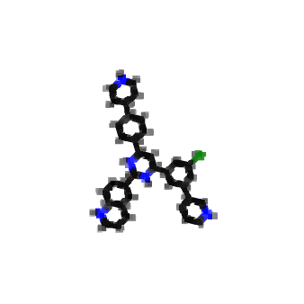 Brc1cc(-c2cccnc2)cc(-c2cc(-c3ccc(-c4ccncc4)cc3)nc(-c3ccc4ncccc4c3)n2)c1